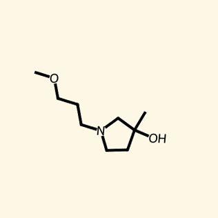 COCCCN1CCC(C)(O)C1